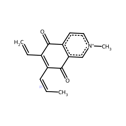 C=CC1=C(/C=C\C)C(=O)c2c[n+](C)ccc2C1=O